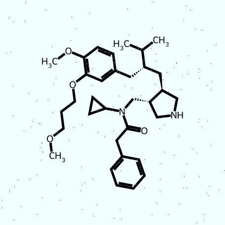 COCCCOc1cc(C[C@@H](C[C@H]2CNC[C@@H]2CN(C(=O)Cc2ccccc2)C2CC2)C(C)C)ccc1OC